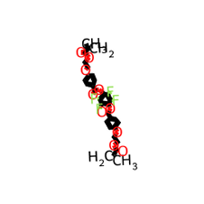 C=C(C)C(=O)OCCOc1ccc(C(=O)Oc2c(F)c(F)c(OC(=O)c3ccc(OCCOC(=O)C(=C)C)cc3)c(F)c2F)cc1